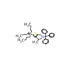 CCC[CH2][Sn]([CH2]CCC)([CH2]CCC)[c]1cc2c(s1)CN(C(c1ccccc1)(c1ccccc1)c1ccccc1)CC2C